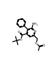 CC(=O)OCc1cc(C(=O)OC(C)(C)C)c(-c2ccccc2)c(N)n1